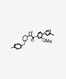 COc1cc(C(=O)NC2CCCN(Cc3ccc(C)cc3)C2)ccc1-n1cnc(C)c1